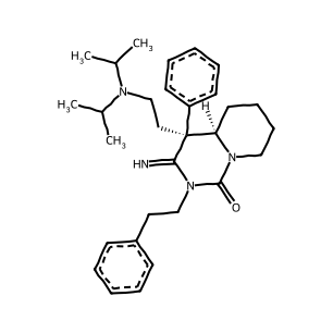 CC(C)N(CC[C@@]1(c2ccccc2)C(=N)N(CCc2ccccc2)C(=O)N2CCCC[C@@H]21)C(C)C